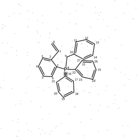 C=Cc1ccccc1[PH](Cc1ccccc1)(c1ccccc1)c1ccccc1